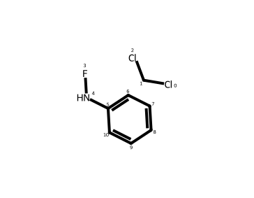 ClCCl.FNc1ccccc1